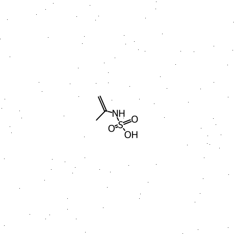 C=C(C)NS(=O)(=O)O